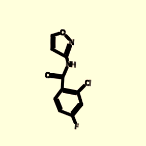 O=C(Nc1ccon1)c1ccc(F)cc1Cl